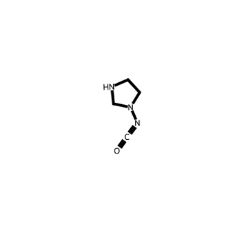 O=C=NN1CCNC1